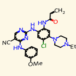 C=CC(=O)Nc1cc(N2CCN(CC)CC2)c(Cl)cc1Nc1ncc(C#N)c(Nc2cccc(OC)c2)n1